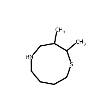 CC1CNCCCCSC1C